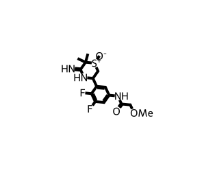 COCC(=O)Nc1cc(F)c(F)c(C2C[S+]([O-])C(C)(C)C(=N)N2)c1